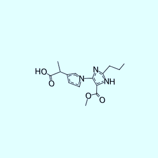 CCCc1nc(-n2ccc(C(C)C(=O)O)c2)c(C(=O)OC)[nH]1